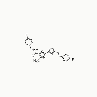 Cc1nc(-c2ccn(CCc3ccc(F)cc3)n2)sc1C(=O)NCc1ccc(F)cc1